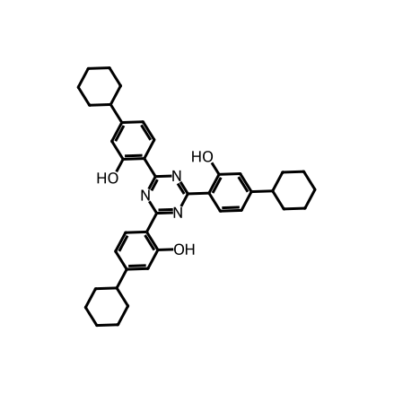 Oc1cc(C2CCCCC2)ccc1-c1nc(-c2ccc(C3CCCCC3)cc2O)nc(-c2ccc(C3CCCCC3)cc2O)n1